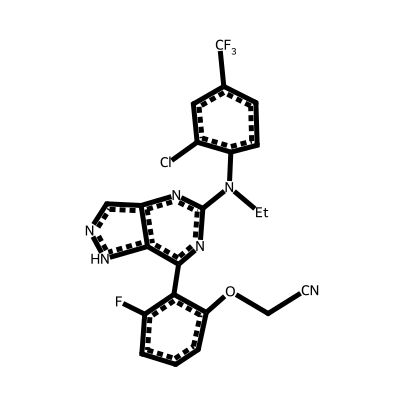 CCN(c1nc(-c2c(F)cccc2OCC#N)c2[nH]ncc2n1)c1ccc(C(F)(F)F)cc1Cl